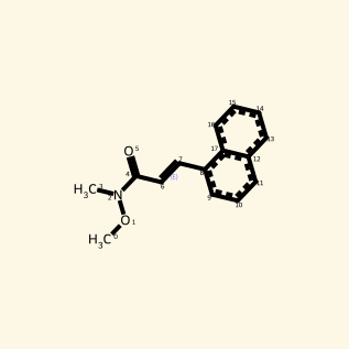 CON(C)C(=O)/C=C/c1cccc2ccccc12